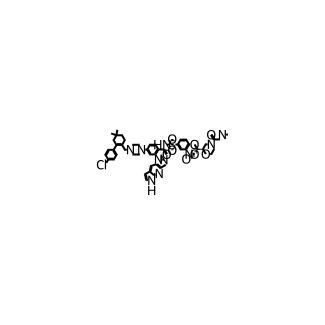 CN(C)CC(=O)N1CCO[C@@H](COc2ccc(S(=O)(=O)NC(=O)c3ccc(N4CCN(CC5=C(c6ccc(Cl)cc6)CC(C)(C)CC5)CC4)cc3-n3ncc4nc5[nH]ccc5cc43)cc2[N+](=O)[O-])C1